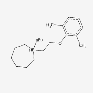 CCCC[PH]1(CCOc2c(C)cccc2C)CCCCCC1